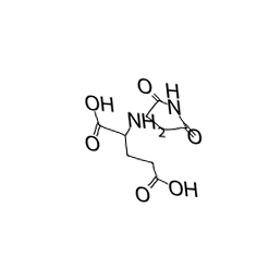 NC(CCC(=O)O)C(=O)O.O=C1CCC(=O)N1